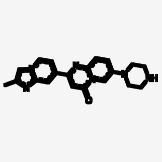 Cc1cn2ccc(-c3cc(=O)n4cc(N5CCNCC5)ccc4n3)cc2n1